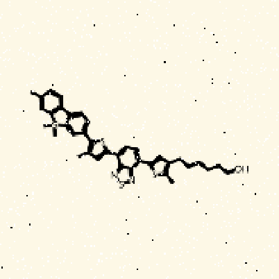 Cc1ccc2c(c1)[Si](C)(C)c1cc(-c3sc(-c4ccc(-c5cc(CCCCCCO)c(C)s5)c5nsnc45)cc3C)ccc1-2